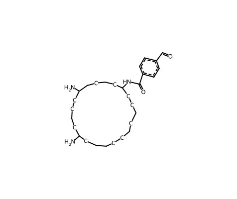 NC1CCCCCCCCCCC(NC(=O)c2ccc(C=O)cc2)CCCCC(N)CCCC1